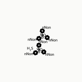 CCCCCCCCCc1ccc(OP(Oc2ccc(CCCCCCCCC)cc2)Oc2ccc(CCCCCCCCC)cc2)cc1.CCCCCCCCCc1ccc(OP(Oc2ccc(CCCCCCCCC)cc2)Oc2ccc(CCCCCCCCC)cc2)cc1.S